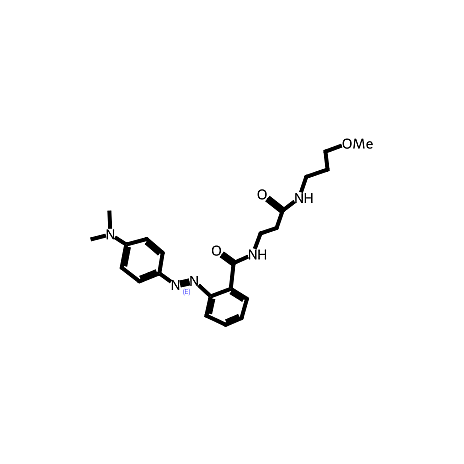 COCCCNC(=O)CCNC(=O)c1ccccc1/N=N/c1ccc(N(C)C)cc1